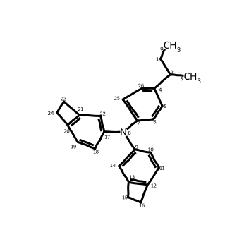 CCC(C)c1ccc(N(c2ccc3c(c2)CC3)c2ccc3c(c2)CC3)cc1